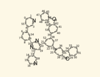 c1cncc(-c2cccc(-c3nc(-c4cccnc4)cc(-c4cc(-c5ccc6oc7ccccc7c6c5)cc(-c5ccc6oc7ccccc7c6c5)c4)n3)c2)c1